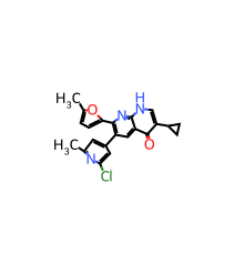 Cc1cc(-c2cc3c(=O)c(C4CC4)c[nH]c3nc2-c2ccc(C)o2)cc(Cl)n1